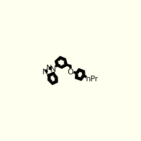 CCCc1ccc(OCc2cccc(-n3nnc4ccccc43)c2)cc1